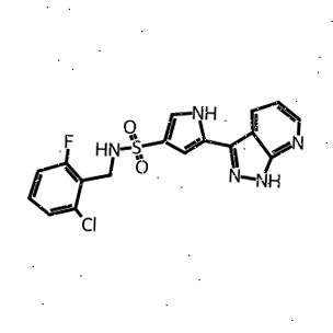 O=S(=O)(NCc1c(F)cccc1Cl)c1c[nH]c(-c2n[nH]c3ncccc23)c1